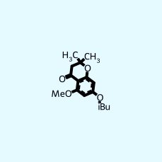 CCC(C)Oc1cc(OC)c2c(c1)OC(C)(C)CC2=O